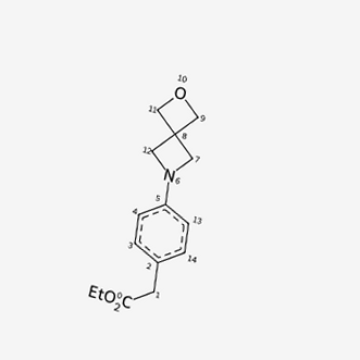 CCOC(=O)Cc1ccc(N2CC3(COC3)C2)cc1